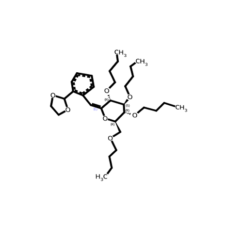 CCCCOC[C@H]1O/C(=C/c2ccccc2C2OCCO2)[C@H](OCCCC)[C@@H](OCCCC)[C@@H]1OCCCC